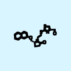 O=Cc1csc(SCCN2C(=O)CC[C@@H]2COc2ccc3ccccc3c2)n1